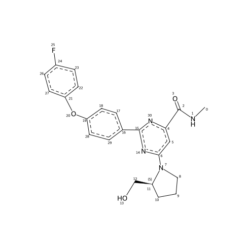 CNC(=O)c1cc(N2CCC[C@H]2CO)nc(-c2ccc(Oc3ccc(F)cc3)cc2)n1